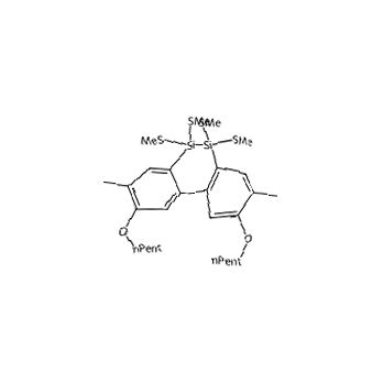 CCCCCOc1cc2c(cc1C)[Si](SC)(SC)[Si](SC)(SC)c1cc(C)c(OCCCCC)cc1-2